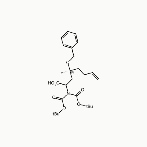 C=CCC[C@@](C)(CC(C(=O)O)N(C(=O)OC(C)(C)C)C(=O)OC(C)(C)C)OCc1ccccc1